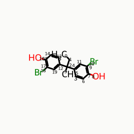 CCC(C)(c1ccc(O)c(Br)c1)c1ccc(O)c(Br)c1